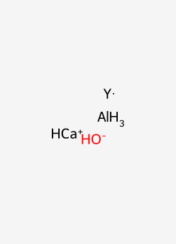 [AlH3].[CaH+].[OH-].[Y]